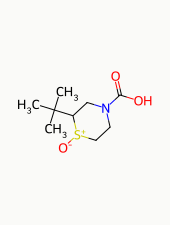 CC(C)(C)C1CN(C(=O)O)CC[S+]1[O-]